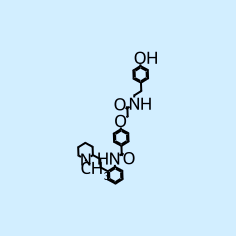 CN1CCCCC1CCc1ccccc1NC(=O)c1ccc(OCC(=O)NCCc2ccc(O)cc2)cc1